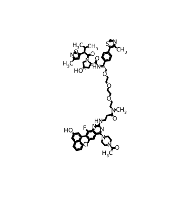 CC(=O)N1CCN(c2nc(NCCC(=O)N(C)CCOCCOCCOC[C@H](NC(=O)[C@@H]3C[C@@H](O)CN3C(=O)C(c3cc(C)no3)C(C)C)c3ccc(-c4scnc4C)cc3)nc3c(F)c(-c4cc(O)cc5ccccc45)c(Cl)cc23)CC1